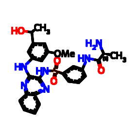 COc1cc(Nc2nc3ccccc3nc2NS(=O)(=O)c2cccc(NC(=O)[C@H](C)N)c2)cc(C(C)O)c1